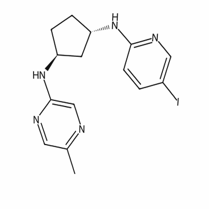 Cc1cnc(N[C@H]2CC[C@H](Nc3ccc(I)cn3)C2)cn1